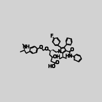 CNC(C)Cc1ccc(OCO[C@H](CCn2c(-c3ccc(F)cc3)c(-c3ccccc3)c(C(=O)Nc3ccccc3)c2C(C)C)C[C@@H](O)CC(=O)O)cc1